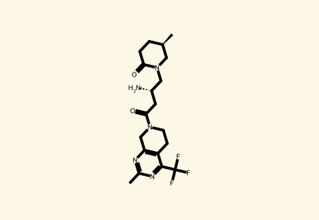 Cc1nc2c(c(C(F)(F)F)n1)CCN(C(=O)C[C@H](N)CN1C[C@H](C)CCC1=O)C2